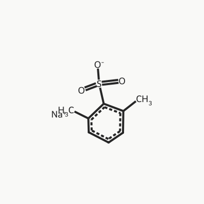 Cc1cccc(C)c1S(=O)(=O)[O-].[Na+]